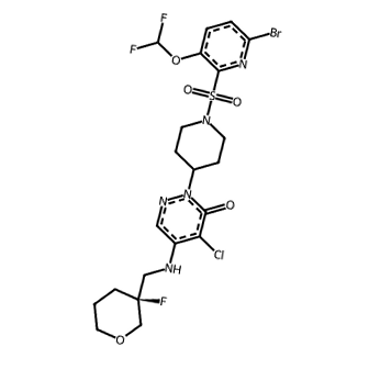 O=c1c(Cl)c(NC[C@@]2(F)CCCOC2)cnn1C1CCN(S(=O)(=O)c2nc(Br)ccc2OC(F)F)CC1